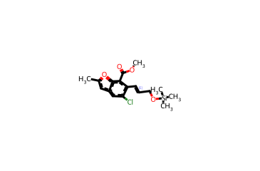 COC(=O)c1c(/C=C/CO[Si](C)(C)C)c(Cl)cc2cc(C)oc12